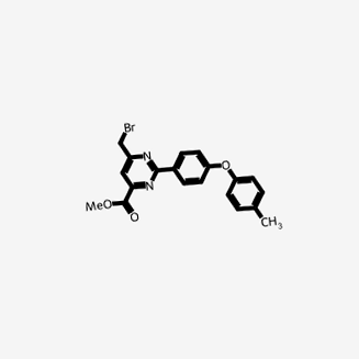 COC(=O)c1cc(CBr)nc(-c2ccc(Oc3ccc(C)cc3)cc2)n1